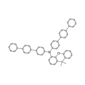 CC1(C)c2ccccc2Oc2c(N(c3ccc(-c4ccc(-c5ccccc5)cc4)cc3)c3ccc(-c4ccc(-c5ccccc5)cc4)cc3)cccc21